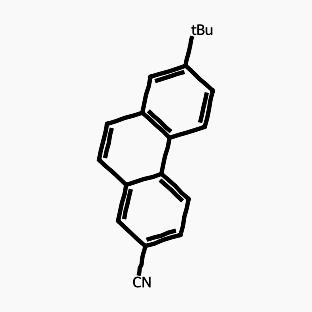 CC(C)(C)c1ccc2c(ccc3cc(C#N)ccc32)c1